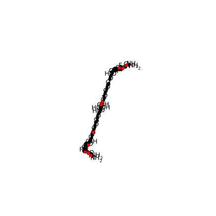 C/C(=C\c1ccc(F)c(Oc2ccc(S(=O)(=O)NCCOCCOCCOCCOCCOCCOCCNC(=O)C(O)C(O)C(=O)NCCOCCOCCOCCOCCOCCOCCNS(=O)(=O)c3ccc(Oc4c(F)ccc(/C=C(\C)C(=O)N=C(N)N)c4F)cc3)cc2)c1F)C(=O)N=C(N)N